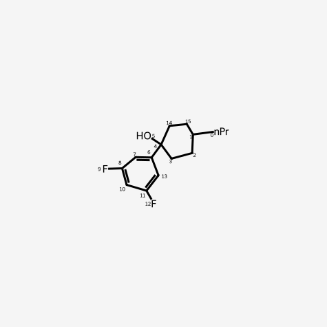 CCCC1CCC(O)(c2cc(F)cc(F)c2)CC1